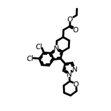 CCOC(=O)CC1CCc2c(-c3cnn(C4CCCCO4)c3)c3ccc(Cl)c(Cl)c3n2C1